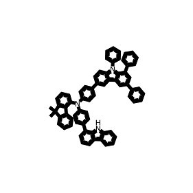 CC1(C)c2ccccc2-c2c(N(c3ccc(-c4ccc5c(c4)c4cc(-c6ccccc6)cc(-c6ccccc6)c4n5-c4ccccc4)cc3)c3ccc(-c4cccc5c4[nH]c4ccccc45)cc3)cccc21